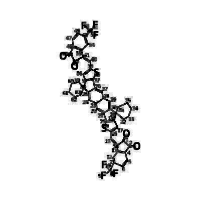 O=C1C(=O)c2ccc(C(F)(F)F)cc2/C1=C/c1cc2c(s1)C1=CC3C=C4C(=CC3C=C1C21CCCCC1)c1sc(/C=C2\C(=O)C(=O)c3ccc(C(F)(F)F)cc32)cc1C41CCCCC1